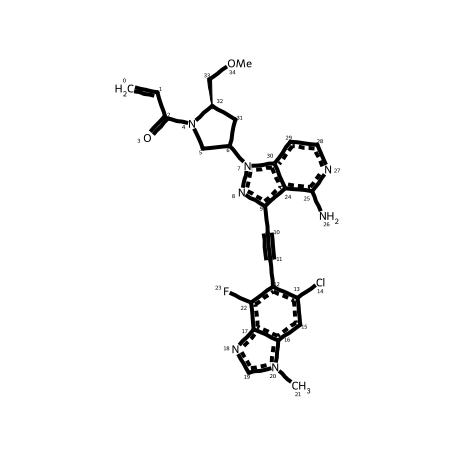 C=CC(=O)N1CC(n2nc(C#Cc3c(Cl)cc4c(ncn4C)c3F)c3c(N)nccc32)C[C@@H]1COC